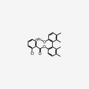 CCCOc1ccc(C)c(C)c1-c1c(OC(=O)c2ccccc2Cl)ccc(C)c1C